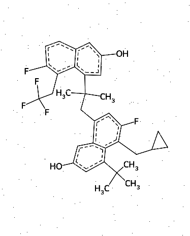 CC(C)(C)c1cc(O)cc2c(CC(C)(C)c3cc(O)cc4ccc(F)c(CC(F)(F)F)c34)cc(F)c(CC3CC3)c12